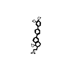 COc1ccc(-c2ccc(-c3ccc4c(c3)CCC(CCN(C)C)C4OC)cc2)cc1OC